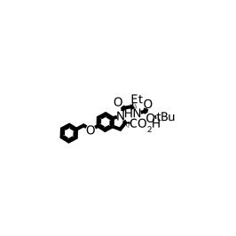 CC[C@H](NC(=O)OC(C)(C)C)C(=O)N1c2ccc(OCc3ccccc3)cc2C[C@@H]1C(=O)O